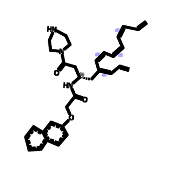 C=C\C=C/C=C\C=C/C(=C\C=C)C[C@@H](CC(=O)N1CCNCC1)NC(=O)COc1ccc2ccccc2c1